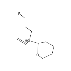 C=C[SiH](CCCF)C1CCCCO1